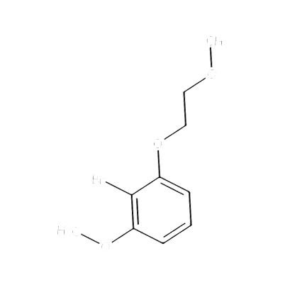 COCCOc1cccc(OC)c1Br